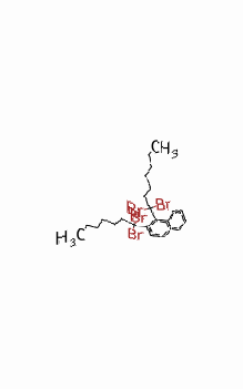 CCCCCCC(Br)(Br)c1ccc2ccccc2c1C(Br)(Br)CCCCCC